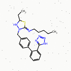 CCCCCN=C1SC(CC)NN1Cc1ccc(-c2ccccc2-c2nnn[nH]2)cc1